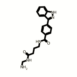 NCNC(=O)CCCNC(=O)c1ccc(-c2n[nH]c3ccccc23)cc1